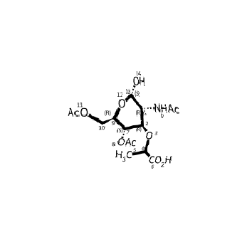 CC(=O)N[C@@H]1[C@@H](OC(C)C(=O)O)[C@H](OC(C)=O)[C@@H](COC(C)=O)O[C@@H]1O